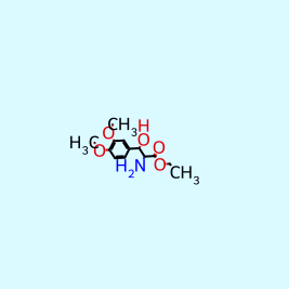 CCOC(=O)C(N)C(O)c1ccc(OC)c(OC)c1